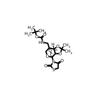 CC(C)(C)OC(=O)NCC12COC(N3C(=O)CSC3=O)(CO1)C1OC(C)(C)O[C@H]12